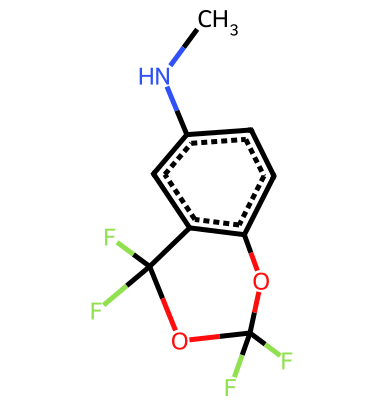 CNc1ccc2c(c1)C(F)(F)OC(F)(F)O2